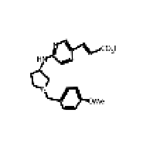 COc1ccc(CN2CC[C@@H](Nc3ccc(C=CC(=O)O)cn3)C2)cc1